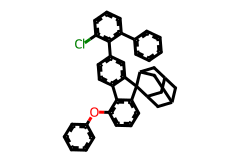 Clc1cccc(-c2ccccc2)c1-c1ccc2c(c1)C1(c3cccc(Oc4ccccc4)c3-2)C2CC3CC(C2)CC1C3